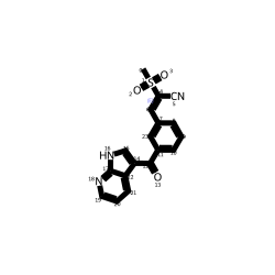 CS(=O)(=O)/C(C#N)=C/c1cccc(C(=O)c2c[nH]c3ncccc23)c1